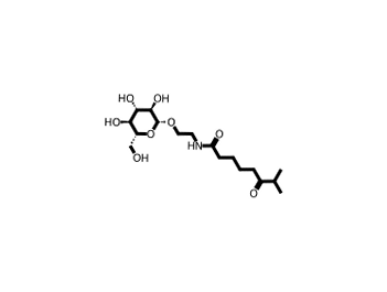 CC(C)C(=O)CCCCC(=O)NCCO[C@@H]1O[C@H](CO)[C@@H](O)[C@H](O)[C@H]1O